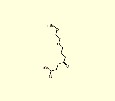 CCCCOCCOCCCC(=O)OCC(CC)CCCC